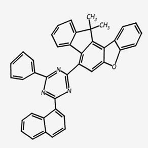 CC1(C)c2ccccc2-c2c(-c3nc(-c4ccccc4)nc(-c4cccc5ccccc45)n3)cc3oc4ccccc4c3c21